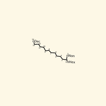 [CH2]CCCCCC(CCCCCCCCC)CCCCCCCCCCCCCCCCCCCCC